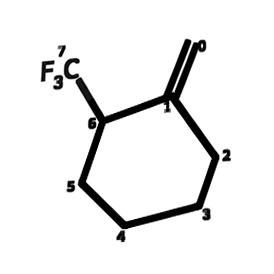 C=C1CCCCC1C(F)(F)F